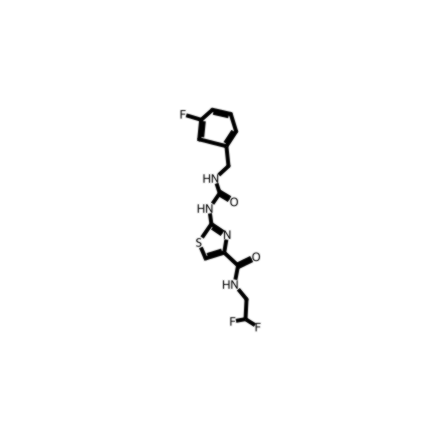 O=C(NCc1cccc(F)c1)Nc1nc(C(=O)NCC(F)F)cs1